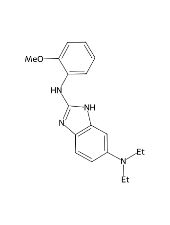 CCN(CC)c1ccc2nc(Nc3ccccc3OC)[nH]c2c1